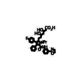 CC(C)n1c(CC[C@@H](O)C[C@@H](O)CC(=O)O)c(-c2ccc(F)cc2)c(-c2ccccc2)c1C(=O)Nc1cccc(-c2ncco2)c1